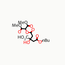 CCCCOC(=O)CC(O)(CC(=O)OC(C(=O)OC)C(=O)OC)C(=O)O